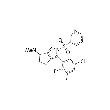 CNC1CCc2c1cn(S(=O)(=O)c1cccnc1)c2-c1cc(Cl)cc(C)c1F